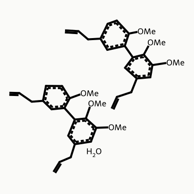 C=CCc1ccc(OC)c(-c2cc(CC=C)cc(OC)c2OC)c1.C=CCc1ccc(OC)c(-c2cc(CC=C)cc(OC)c2OC)c1.O